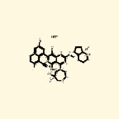 C#Cc1c(F)ccc2cc(O)cc(-c3nc(OC)c4c(N5CCOC[C@@](C)(O)C5)nc(OC[C@@]56CCCN[C@@H]5CCC6)nc4c3F)c12.Cl